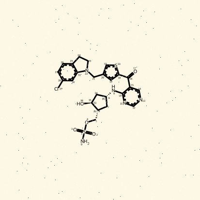 NS(=O)(=O)OC[C@H]1C[C@@H](Nc2ncncc2C(=O)c2cc(CN3CCc4ccc(Cl)cc43)cs2)C[C@@H]1O